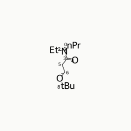 CCCN(CC)C(=O)CCOC(C)(C)C